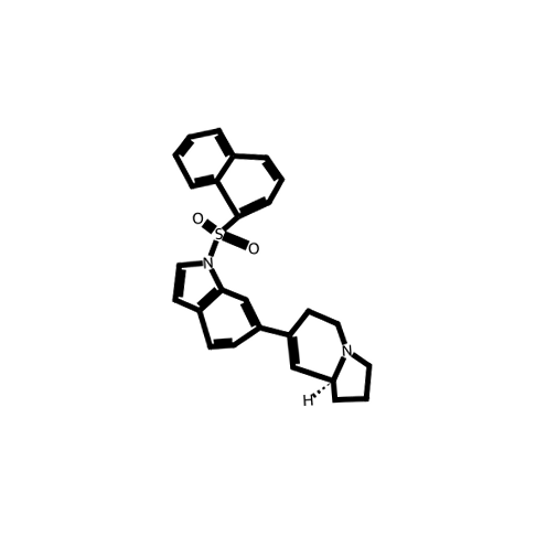 O=S(=O)(c1cccc2ccccc12)n1ccc2ccc(C3=C[C@@H]4CCCN4CC3)cc21